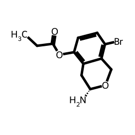 CCC(=O)Oc1ccc(Br)c2c1C[C@@H](N)OC2